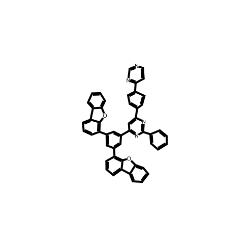 c1ccc(-c2nc(-c3ccc(-c4ccncn4)cc3)cc(-c3cc(-c4cccc5c4oc4ccccc45)cc(-c4cccc5c4oc4ccccc45)c3)n2)cc1